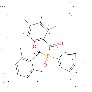 Cc1cc(C)c(C(=O)P(=O)(C(=O)c2c(C)cccc2C)c2ccccc2)c(C)c1C